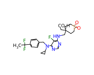 CC(F)(F)c1ccc(CN(c2ncnc(NCC3(CC(=O)O)CCS(=O)(=O)CC3)c2F)C2CC2)cc1